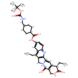 CCc1c2c(nc3ccc(OC(=O)C4CCC(CNC(=O)OC(C)(C)C)CC4)cc13)-c1cc3c(c(=O)n1C2)COC(=O)[C@@H]3CC